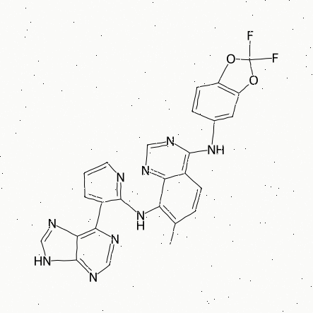 Cc1ccc2c(Nc3ccc4c(c3)OC(F)(F)O4)ncnc2c1Nc1ncccc1-c1ncnc2[nH]cnc12